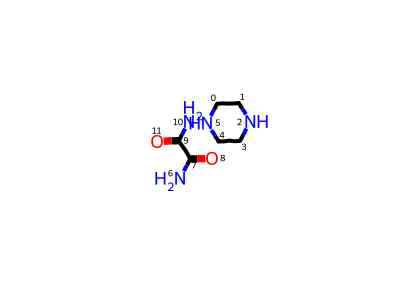 C1CNCCN1.NC(=O)C(N)=O